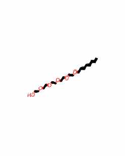 C=CCCCC=CCOCCOCCOCCOCCOCCO